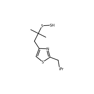 CC(C)Cc1nc(CC(C)(C)SS)cs1